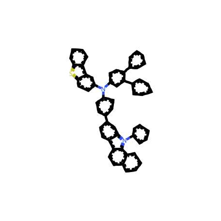 c1ccc(-c2ccc(N(c3ccc(-c4ccc5c6ccc7ccccc7c6n(-c6ccccc6)c5c4)cc3)c3ccc4sc5ccccc5c4c3)cc2-c2ccccc2)cc1